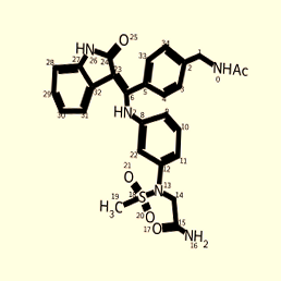 CC(=O)NCc1ccc(C(Nc2cccc(N(CC(N)=O)S(C)(=O)=O)c2)=C2C(=O)Nc3ccccc32)cc1